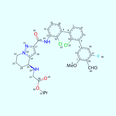 COc1cc(-c2cccc(-c3cccc(NC(=O)c4cc5n(n4)CCC[C@@H]5NCC(=O)OC(C)C)c3Cl)c2Cl)cc(F)c1C=O